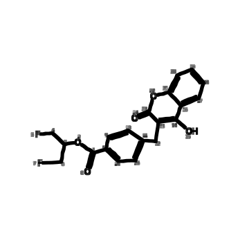 O=C(OC(CF)CF)c1ccc(Cc2c(O)c3ccccc3oc2=O)cc1